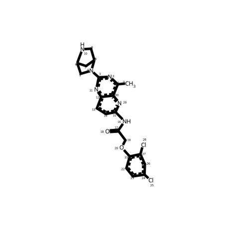 Cc1nc(N2CC3CC2CN3)nc2ccc(NC(=O)COc3ccc(Cl)cc3Cl)nc12